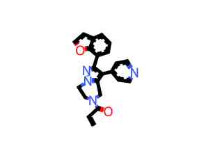 C=CC(=O)N1CCn2nc(-c3cccc4ccoc34)c(-c3ccncc3)c2C1